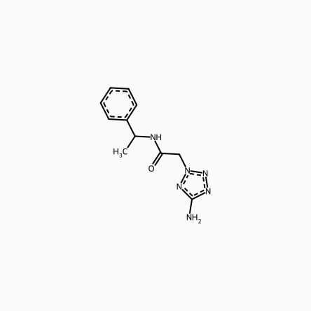 CC(NC(=O)Cn1nnc(N)n1)c1ccccc1